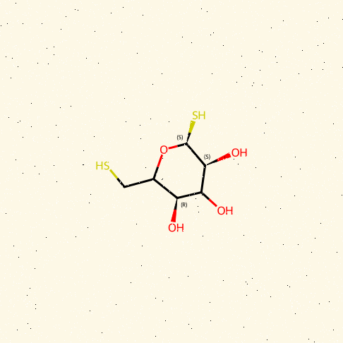 OC1[C@@H](O)C(CS)O[C@@H](S)[C@H]1O